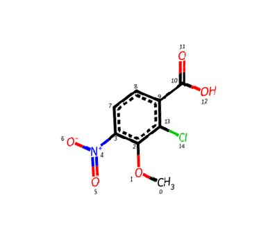 COc1c([N+](=O)[O-])ccc(C(=O)O)c1Cl